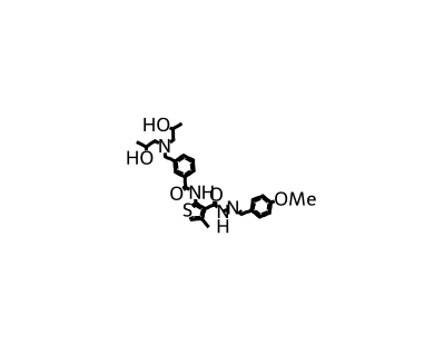 COc1ccc(C=NNC(=O)c2c(C)csc2NC(=O)c2cccc(CN(CC(C)O)CC(C)O)c2)cc1